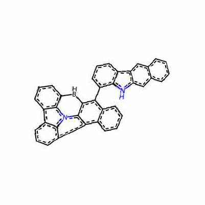 B1c2cccc3c4cccc5c6c7ccccc7c(-c7cccc8c7[nH]c7cc9ccccc9cc78)c1c6n(c23)c45